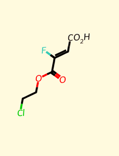 O=C(O)/C=C(\F)C(=O)OCCCl